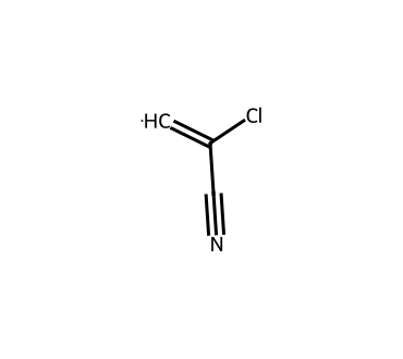 [CH]=C(Cl)C#N